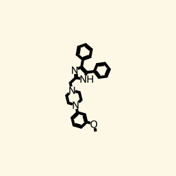 COc1cccc(N2CCN(Cc3nc(-c4ccccc4)c(-c4ccccc4)[nH]3)CC2)c1